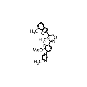 COc1nc(C2=NOCC(c3cc4cccc(C)c4o3)N2C)ccc1-n1cnc(C)c1